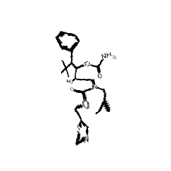 CC(C)CN(CC(O)C(OC(N)=O)C(c1ccccc1)C(C)(C)C)C(=O)OCc1cncs1